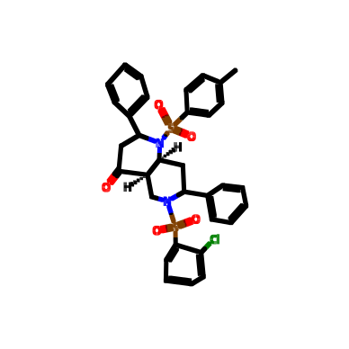 Cc1ccc(S(=O)(=O)N2C(c3ccccc3)CC(=O)[C@@H]3CN(S(=O)(=O)c4ccccc4Cl)C(c4ccccc4)C[C@@H]32)cc1